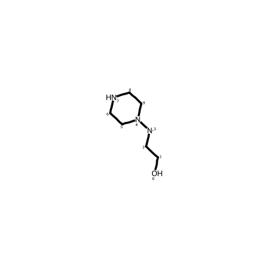 OCC[N]N1CCNCC1